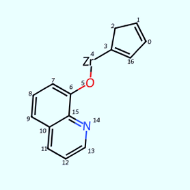 C1=CC[C]([Zr][O]c2cccc3cccnc23)=C1